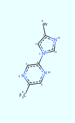 CC(C)c1cn(-c2cnc(C(F)(F)F)cn2)cn1